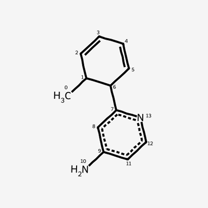 CC1C=CC=CC1c1cc(N)ccn1